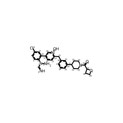 N=CN(N)c1ccc(Cl)cc1-c1ccc(Cc2cccc(C3CCN(C(=O)C4CCO4)CC3)c2)[n+](O)c1